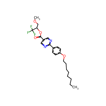 CCCCCCCCOc1ccc(-c2ncc(C(=O)OC(COC)C(F)(F)F)cn2)cc1